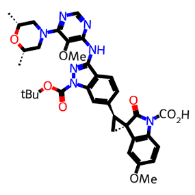 COc1ccc2c(c1)[C@]1(C[C@H]1c1ccc3c(Nc4ncnc(N5C[C@@H](C)O[C@@H](C)C5)c4OC)nn(C(=O)OC(C)(C)C)c3c1)C(=O)N2C(=O)O